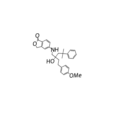 COc1ccc(CCC(O)(CNc2ccc3c(c2)COC3=O)CC(C)(C)c2ccccc2)cc1